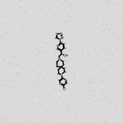 O[C@@H](CN1CCC2(CC1)CCN(c1cnc(Cl)cn1)CC2)c1ccc(-n2cnnn2)nc1